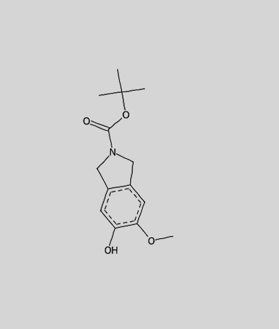 COc1cc2c(cc1O)CN(C(=O)OC(C)(C)C)C2